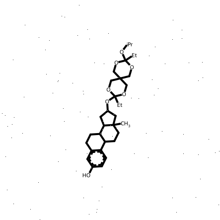 CCC1(OC(C)C)OCC2(CO1)COC(CC)(OC1CC3C4CCc5cc(O)ccc5C4CCC3(C)C1)OC2